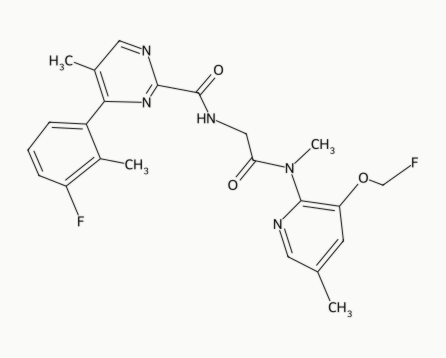 Cc1cnc(N(C)C(=O)CNC(=O)c2ncc(C)c(-c3cccc(F)c3C)n2)c(OCF)c1